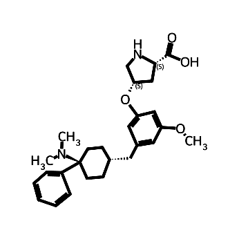 COc1cc(C[C@H]2CC[C@](c3ccccc3)(N(C)C)CC2)cc(O[C@@H]2CN[C@H](C(=O)O)C2)c1